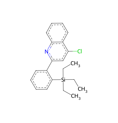 CC[Si](CC)(CC)c1ccccc1-c1cc(Cl)c2ccccc2n1